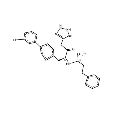 CCOC(=O)[C@H](CCc1ccccc1)N[C@@H](Cc1ccc(-c2cccc(Cl)c2)cc1)C(=O)CC1=NNNN1